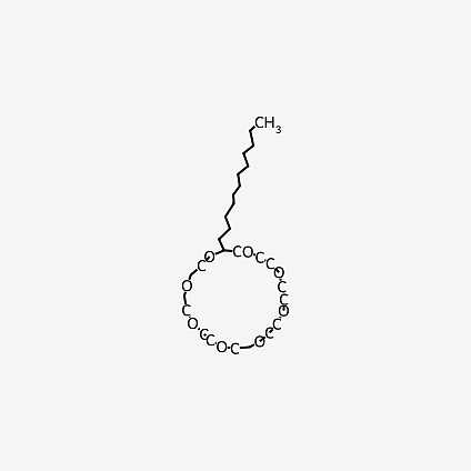 CCCCCCCCCCCCC1COCCOCCOCCOCCOCCOCCOCCO1